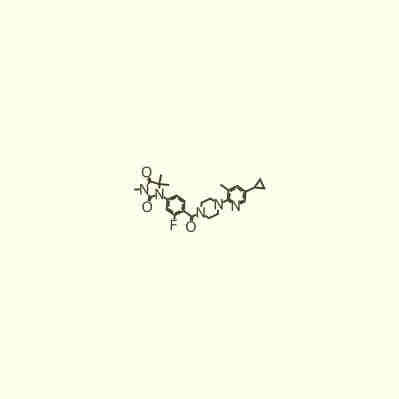 Cc1cc(C2CC2)cnc1N1CCN(C(=O)c2ccc(N3C(=O)N(C)C(=O)C3(C)C)cc2F)CC1